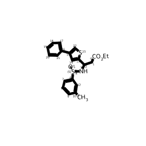 CCOC(=O)CC(N[S@+]([O-])c1cccc(C)c1)c1cc(-c2ccccc2)cs1